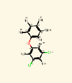 [2H]c1c(Cl)c([2H])c(Oc2c([2H])c([2H])c(C#N)c([2H])c2[2H])c([2H])c1Cl